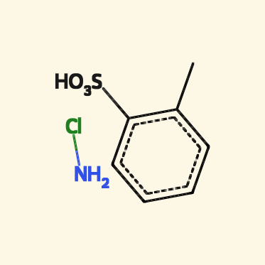 Cc1ccccc1S(=O)(=O)O.NCl